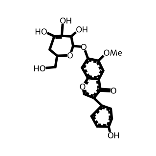 COc1cc2c(=O)c(-c3ccc(O)cc3)coc2cc1OC1OC(CO)CC(O)=C(O)C1O